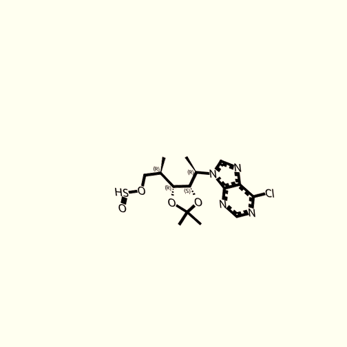 C[C@H](CO[SH]=O)[C@H]1OC(C)(C)O[C@H]1[C@@H](C)n1cnc2c(Cl)ncnc21